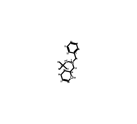 CC(C)(C)SN(Cc1ccccc1)CC1CCC=CO1